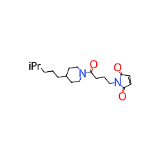 CC(C)CCCC1CCN(C(=O)CCCN2C(=O)C=CC2=O)CC1